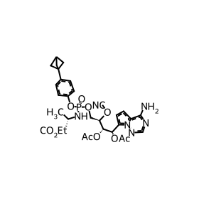 CCOC(=O)[C@H](C)NP(=O)(OC[C@@H](OC#N)[C@@H](OC(C)=O)[C@@H](OC(C)=O)c1ccc2c(N)ncnn12)Oc1ccc(C23CC(C2)C3)cc1